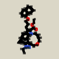 CCOC(=O)c1c(CCCOc2cccc3ccccc23)c2cccc3c2n1C/C=C\COCc1nn(CC)c(C2CC2)c1-3